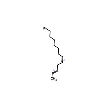 C/C=C/C/C=C\CCCCCCBr